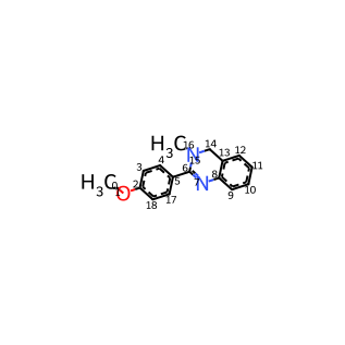 COc1ccc(C2=Nc3ccccc3CN2C)cc1